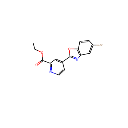 CCOC(=O)c1cc(-c2nc3cc(Br)ccc3o2)ccn1